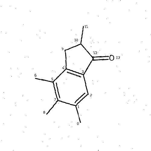 Cc1cc2c(c(C)c1C)CC(C)C2=O